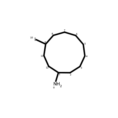 NC1CCCCCCCC(I)CC1